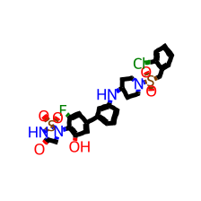 O=C1CN(c2c(O)cc(-c3cccc(NC4CCN(S(=O)(=O)Cc5ccccc5Cl)CC4)c3)cc2F)S(=O)(=O)N1